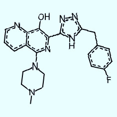 CN1CCN(c2nc(-c3nnc(Cc4ccc(F)cc4)[nH]3)c(O)c3ncccc23)CC1